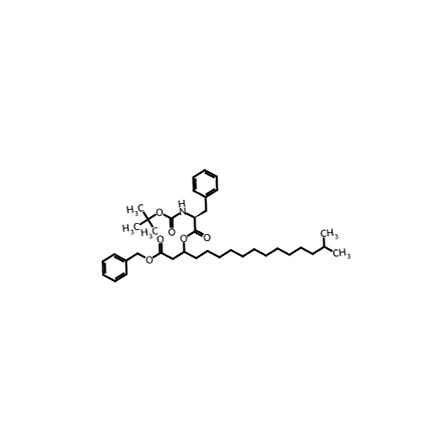 CC(C)CCCCCCCCCCCC(CC(=O)OCc1ccccc1)OC(=O)[C@H](Cc1ccccc1)NC(=O)OC(C)(C)C